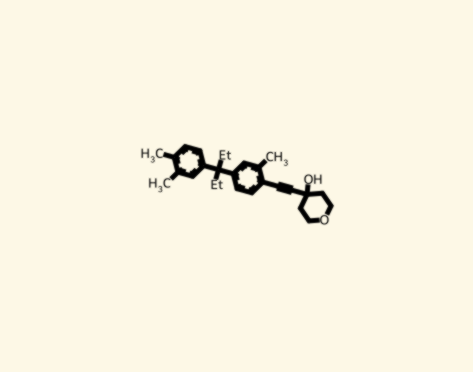 CCC(CC)(c1ccc(C)c(C)c1)c1ccc(C#CC2(O)CCOCC2)c(C)c1